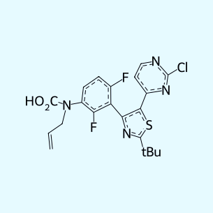 C=CCN(C(=O)O)c1ccc(F)c(-c2nc(C(C)(C)C)sc2-c2ccnc(Cl)n2)c1F